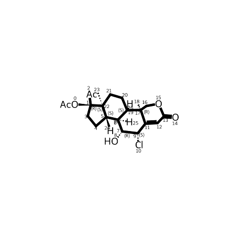 CC(=O)O[C@]1(C(C)=O)CC[C@H]2[C@@H]3[C@@H](O)[C@@H](Cl)C4=CC(=O)OC[C@]4(C)[C@H]3CC[C@@]21C